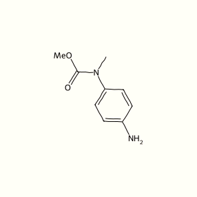 COC(=O)N(C)c1ccc(N)cc1